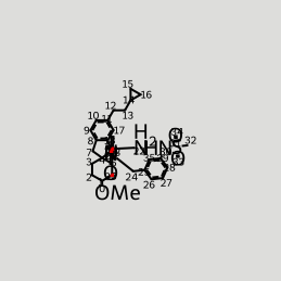 COC1CCC2(CC1)Cc1ccc(CCC3CC3)cc1C21N=C(N)N(Cc2cccc(NS(C)(=O)=O)c2)C1=O